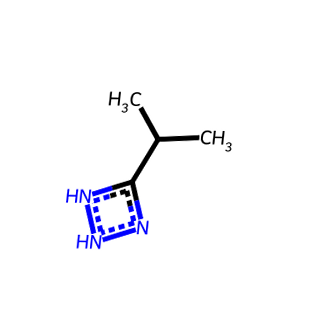 CC(C)c1n[nH][nH]1